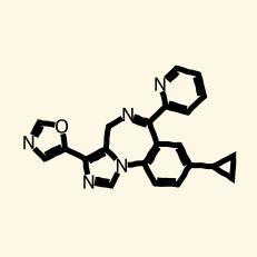 c1ccc(C2=NCc3c(-c4cnco4)ncn3-c3ccc(C4CC4)cc32)nc1